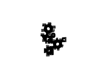 O=C(Nc1cc(Cl)ccc1-n1cncn1)C1(c2ccccc2)CC1